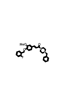 COc1cc(/C=C/C(=O)N2CCN(Cc3ccccc3)CC2)ccc1OCc1ccccc1F